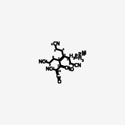 N#CCCC(CCC#N)=C(CCC#N)C(=C=O)C(=C=O)C#N.P.P.[Ni]